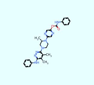 Cc1c(Nc2ccccc2)nnc(N2CCN(c3cnc(OC(=O)Nc4ccccc4)cn3)[C@H](C)C2)c1C